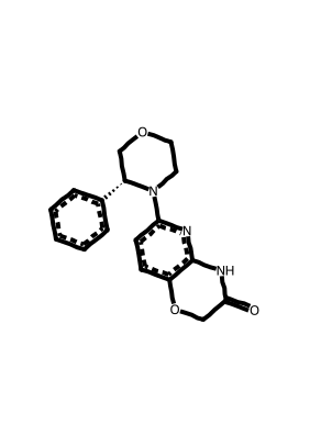 O=C1COc2ccc(N3CCOC[C@H]3c3ccccc3)nc2N1